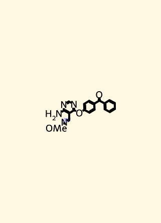 CO/N=C/c1c(N)ncnc1Oc1ccc(C(=O)c2ccccc2)cc1